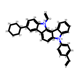 C=Cc1ccc(-n2c3ccccc3c3c4c(ccc32)c2cc(C3CCCCC3)ccc2n4C=C)cc1